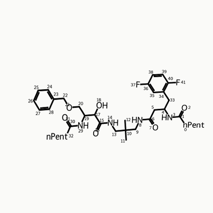 CCCCCC(=O)NC(CC(=O)NCC(C)(C)CNC(=O)C(O)C(COCc1ccccc1)NC(=O)CCCCC)Cc1cc(F)ccc1F